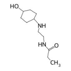 CCC(=O)NCCNC1CCC(O)CC1